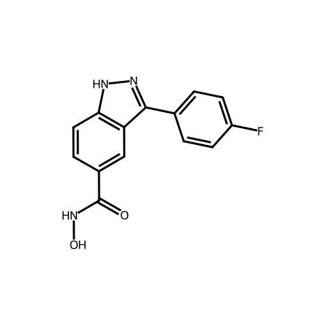 O=C(NO)c1ccc2[nH]nc(-c3ccc(F)cc3)c2c1